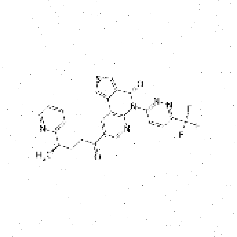 C[C@H](CCC(=O)c1cnc2c(c1)c1cscc1c(=O)n2-c1ccc(C(F)(F)F)nn1)c1ccccn1